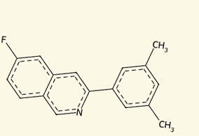 Cc1cc(C)cc(-c2cc3cc(F)ccc3cn2)c1